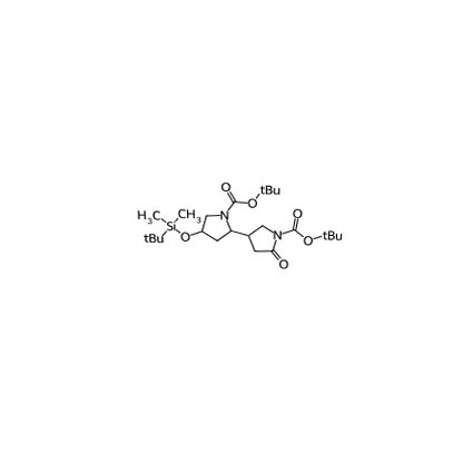 CC(C)(C)OC(=O)N1CC(C2CC(O[Si](C)(C)C(C)(C)C)CN2C(=O)OC(C)(C)C)CC1=O